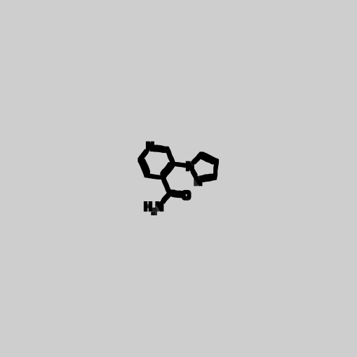 NC(=O)c1ccncc1-n1cccn1